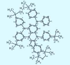 CC(C)(C)c1ccc(N2c3ccc(C(C)(C)C)cc3B3c4sc5cc6c(cc5c4N(c4ccc(C(C)(C)C)cc4)c4cc(N(c5ccccc5)c5ccc([Si](C)(C)C)cc5)cc2c43)C(C)(C)CCC6(C)C)cc1